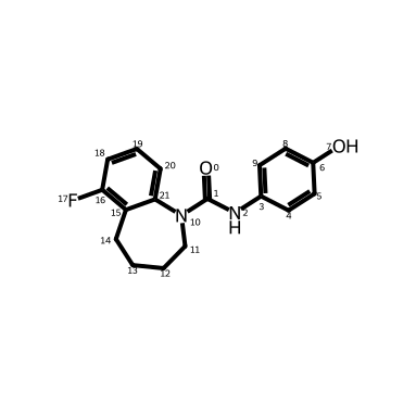 O=C(Nc1ccc(O)cc1)N1CCCCc2c(F)cccc21